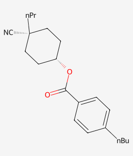 CCCCc1ccc(C(=O)O[C@H]2CC[C@](C#N)(CCC)CC2)cc1